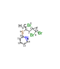 CC(CC1(Br)CC1(Br)Br)Sc1ccccn1